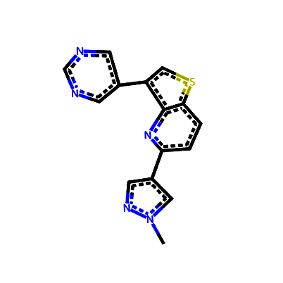 Cn1cc(-c2ccc3scc(-c4cncnc4)c3n2)cn1